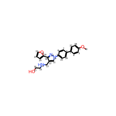 COc1ccc(-c2ccc(-n3cc(CNCCO)c(-c4ccco4)n3)cc2)cc1